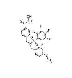 COc1ccc(CN(Cc2ccc(C(=O)NO)cc2)S(=O)(=O)c2c(F)c(F)c(F)c(F)c2F)cc1